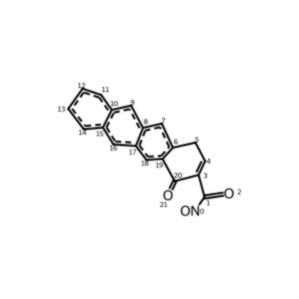 O=NC(=O)C1=CCc2cc3cc4ccccc4cc3cc2C1=O